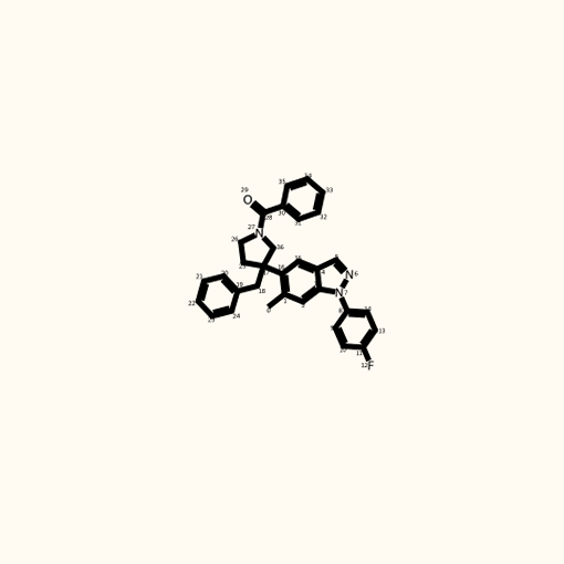 Cc1cc2c(cnn2-c2ccc(F)cc2)cc1C1(Cc2ccccc2)CCN(C(=O)c2ccccc2)C1